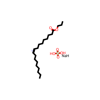 CCCCCCCC/C=C\CCCCCCCC(=O)OCCC.O=S(=O)(O)O.[NaH]